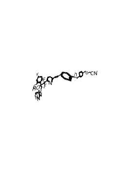 N#CCOCc1ccc(COc2ccc(C#Cc3ccc(C(F)(F)C(O)(Cn4cnnn4)c4ccc(F)cc4F)nc3)cc2)cc1